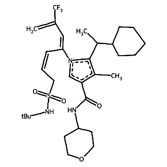 C=C(/C=C(\C=C/CS(=O)(=O)NC(C)(C)C)n1cc(C(=O)NC2CCOCC2)c(C)c1C(C)C1CCCCC1)C(F)(F)F